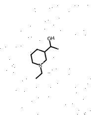 CCN1CCCC(C(C)O)C1